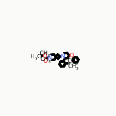 CC(C)c1ccccc1C1CC(Oc2ccccc2)CCN1C1CC2(CCN(C(=O)OC(C)(C)C)CC2)C1